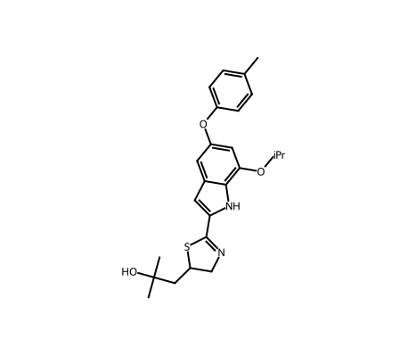 Cc1ccc(Oc2cc(OC(C)C)c3[nH]c(C4=NCC(CC(C)(C)O)S4)cc3c2)cc1